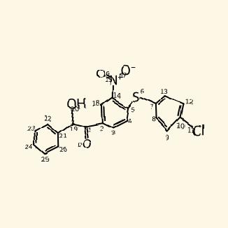 O=C(c1ccc(Sc2ccc(Cl)cc2)c([N+](=O)[O-])c1)C(O)c1ccccc1